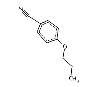 CCCOc1ccc(C#N)cc1